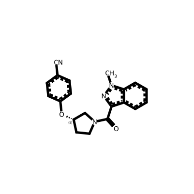 Cn1nc(C(=O)N2CC[C@H](Oc3ccc(C#N)cc3)C2)c2ccccc21